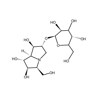 OCC1O[C@@H](O[C@@H]2CN3[C@H]([C@H]2O)[C@@H](O)[C@H](O)[C@@H]3CO)[C@@H](O)C(O)[C@@H]1O